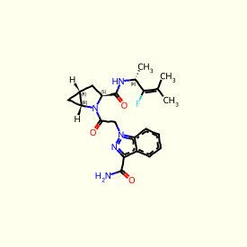 CC(C)=C(F)[C@@H](C)NC(=O)[C@@H]1C[C@H]2C[C@H]2N1C(=O)Cn1nc(C(N)=O)c2ccccc21